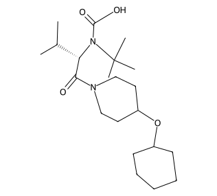 CC(C)[C@@H](C(=O)N1CCC(OC2CCCCC2)CC1)N(C(=O)O)C(C)(C)C